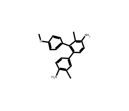 COc1ccc(-c2c(-c3ccc(N)c(C)c3)ccc(N)c2C)cc1